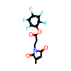 CC1=CC(=O)N(CCC(=O)Oc2c(F)c(F)c(F)c(F)c2F)C1=O